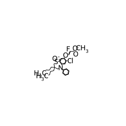 CCCCC1(CCCC)CN(c2ccccc2)c2cc(Cl)c(O/C=C(\F)C(=O)OC)cc2[S+]([O-])C1